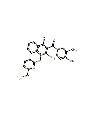 CBc1cccc(Cn2c(C)c(C(=O)c3ccc(C)c(C)c3)c(=O)c3ccccc32)n1